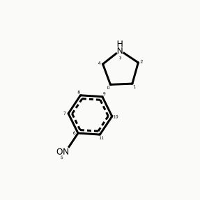 C1CCNC1.O=Nc1ccccc1